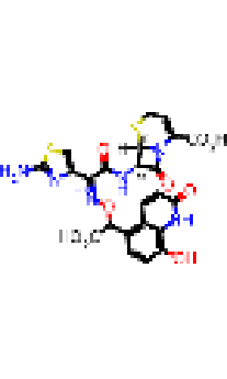 Nc1nc(/C(=N/OC(C(=O)O)c2ccc(O)c3[nH]c(=O)ccc23)C(=O)N[C@@H]2C(=O)N3C(C(=O)O)=CCS[C@@H]23)cs1